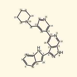 c1cnc2[nH]c(-c3n[nH]c4cnc(-c5cncc(CN6CCCCC6)c5)cc34)cc2c1